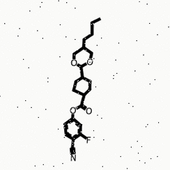 CCCCC1COC(C2CCC(C(=O)Oc3ccc(C#N)c(F)c3)CC2)OC1